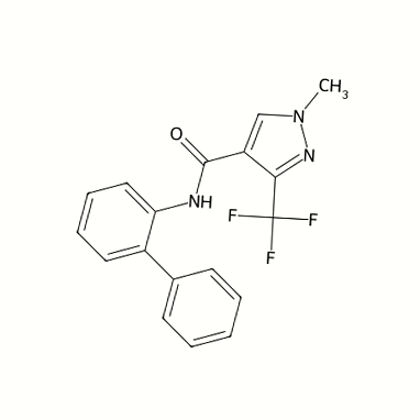 Cn1cc(C(=O)Nc2ccccc2-c2ccccc2)c(C(F)(F)F)n1